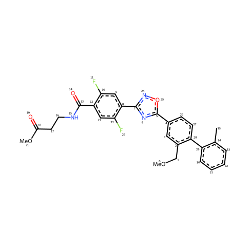 COCc1cc(-c2nc(-c3cc(F)c(C(=O)NCCC(=O)OC)cc3F)no2)ccc1-c1ccccc1C